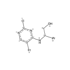 CCc1cnc(Cl)nc1NC(CO)C(C)C